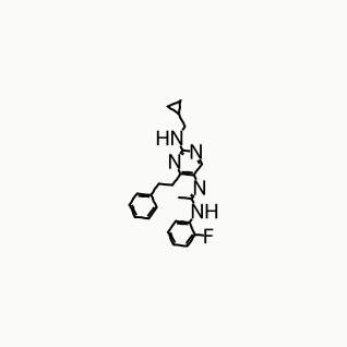 C/C(=N\c1cnc(NCC2CC2)nc1CCc1ccccc1)Nc1ccccc1F